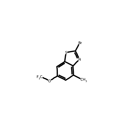 Cc1cc(OC(F)(F)F)cc2sc(Br)nc12